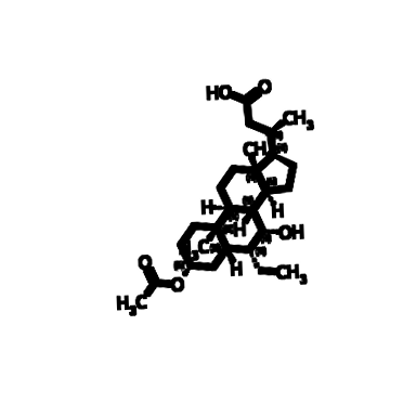 CC[C@H]1[C@@H](O)[C@@H]2[C@H](CC[C@]3(C)[C@@H]([C@H](C)CC(=O)O)CC[C@@H]23)[C@@]2(C)CC[C@@H](OC(C)=O)C[C@@H]12